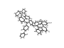 c1ccc(-c2ccc(N(c3ccc4c(c3)C3(c5ccccc5-c5ccccc53)c3ccccc3-4)c3ccc4c(c3)oc3c(-n5c6ccccc6c6ccccc65)c5c(cc34)oc3ccccc35)cc2)cc1